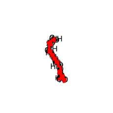 C[C@@H]1OCC2(CCN(c3cnc(Sc4cccc(NC(=O)c5ccc(N6CCC(N7CCN(c8ccc(C(=O)NCc9ccc%10c(c9)CC=C(CC9CCC(=O)NC9=O)C%10=O)c(F)c8)CC7)CC6)c(F)c5)c4)cn3)CC2)/C1=N\C(=O)OC(C)(C)C